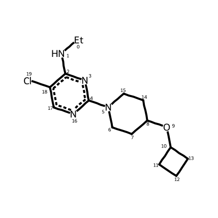 CCNc1nc(N2CCC(OC3CCC3)CC2)ncc1Cl